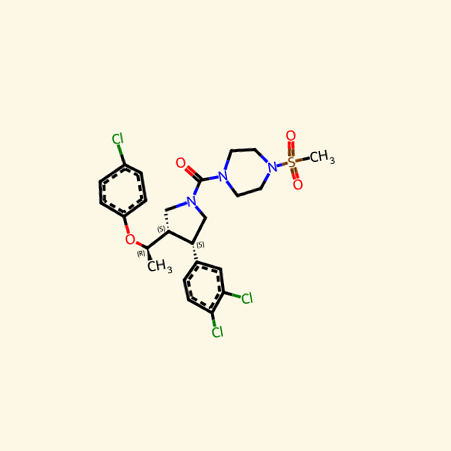 C[C@@H](Oc1ccc(Cl)cc1)[C@@H]1CN(C(=O)N2CCN(S(C)(=O)=O)CC2)C[C@@H]1c1ccc(Cl)c(Cl)c1